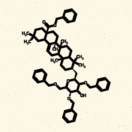 CC1(C)CC[C@]2(C(=O)OCc3ccccc3)CC[C@]3(C)C(=CCC4[C@@]5(C)CC[C@@H](C[C@@H]6OC(COCc7ccccc7)[C@@H](OCc7ccccc7)C(O)C6OCc6ccccc6)C(C)(C)C5CC[C@]43C)C2C1